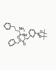 CC1(C)OB(c2cccc(C[C@H](NC(=O)[C@@H](N)CCc3ccccc3)C(=O)OCc3ccccc3)c2)OC1(C)C